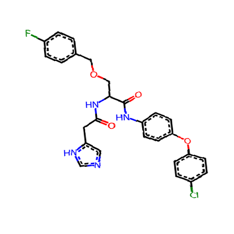 O=C(Cc1cnc[nH]1)NC(COCc1ccc(F)cc1)C(=O)Nc1ccc(Oc2ccc(Cl)cc2)cc1